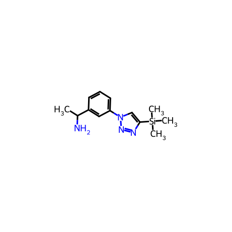 CC(N)c1cccc(-n2cc([Si](C)(C)C)nn2)c1